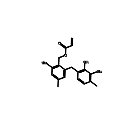 C=CC(=O)OCc1c(Cc2ccc(C)c(C(C)(C)C)c2O)cc(C)cc1C(C)(C)C